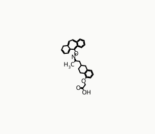 C/C(CC1CCc2c(cccc2OCC(=O)O)C1)=N/OC1=c2ccccc2=CC=C2CC=CC=C21